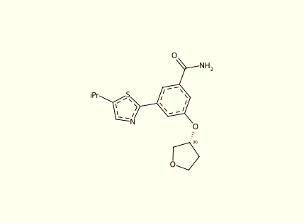 CC(C)c1cnc(-c2cc(O[C@@H]3CCOC3)cc(C(N)=O)c2)s1